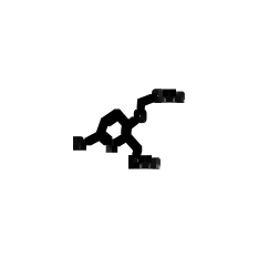 CNCc1nc(Br)ccc1OCOC